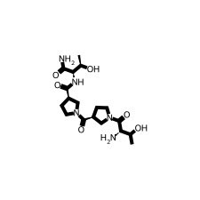 CC(O)[C@H](N)C(=O)N1CC[C@H](C(=O)N2CC[C@@H](C(=O)N[C@H](C(N)=O)[C@@H](C)O)C2)C1